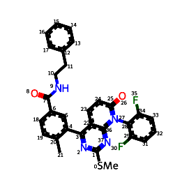 CSc1nc(-c2cc(C(=O)NCCc3ccccc3)ccc2C)c2ccc(=O)n(-c3c(F)cccc3F)c2n1